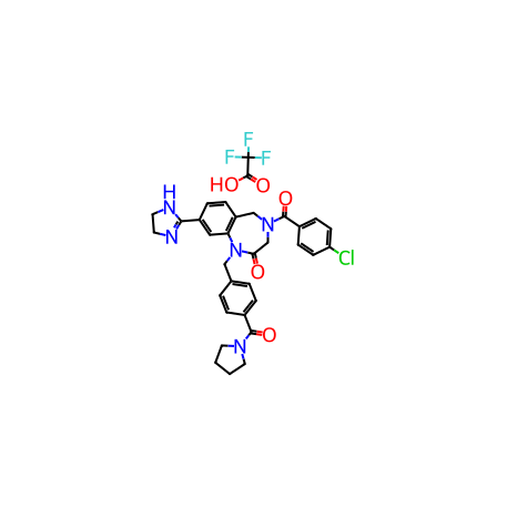 O=C(O)C(F)(F)F.O=C(c1ccc(CN2C(=O)CN(C(=O)c3ccc(Cl)cc3)Cc3ccc(C4=NCCN4)cc32)cc1)N1CCCC1